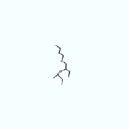 [CH2]CCCOCC(CC)OC(C)CC